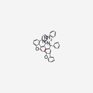 N/N=C(\N=C(\c1ccccc1)c1ccc2oc3ccccc3c2c1)c1cccc2oc3cccc(-c4ccc(-c5ccccc5)cc4)c3c12